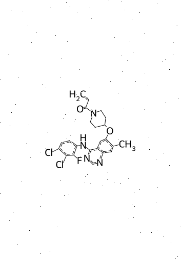 C=CC(=O)N1CCC(Oc2cc3c(Nc4ccc(Cl)c(Cl)c4F)ncnc3cc2C)CC1